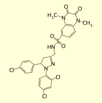 Cn1c(=O)c(=O)n(C)c2cc(S(=O)(=O)NCC3=NN(c4ccc(Cl)cc4Cl)C(c4ccc(Cl)cc4)C3)ccc21